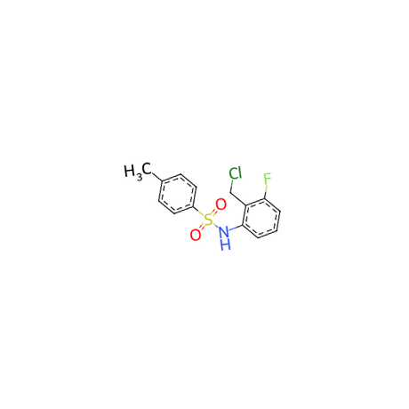 Cc1ccc(S(=O)(=O)Nc2cccc(F)c2CCl)cc1